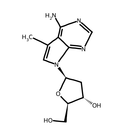 Cc1cn([C@H]2C[C@H](O)[C@@H](CO)O2)c2ncnc(N)c12